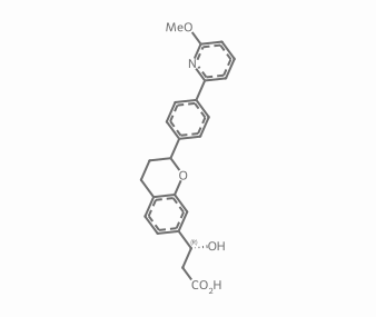 COc1cccc(-c2ccc(C3CCc4ccc([C@H](O)CC(=O)O)cc4O3)cc2)n1